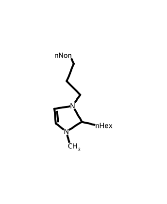 CCCCCCCCCCCCN1C=CN(C)C1CCCCCC